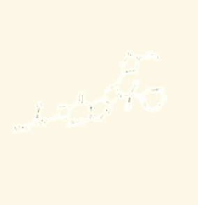 COC(=O)NC1CC(Nc2c(C=O)cnc3c2cc(-c2cnn(C)c2)n3S(=O)(=O)c2ccccc2)C1